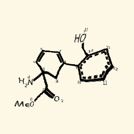 COC(=O)C1(N)C=CC=C(c2ccccc2O)C1